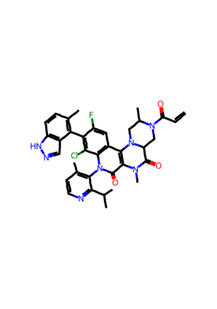 C=CC(=O)N1CC2C(=O)N(C)c3c(c4cc(F)c(-c5c(C)ccc6[nH]ncc56)c(Cl)c4n(-c4c(C)ccnc4C(C)C)c3=O)N2CC1C